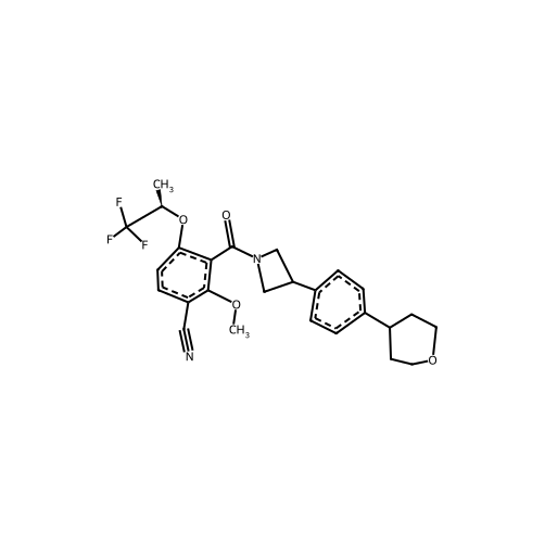 COc1c(C#N)ccc(O[C@H](C)C(F)(F)F)c1C(=O)N1CC(c2ccc(C3CCOCC3)cc2)C1